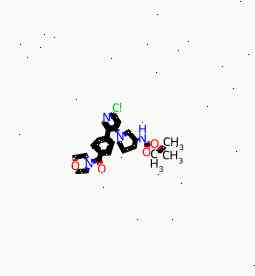 CC(C)(C)OC(=O)N[C@H]1CCCN(c2cc(Cl)ncc2-c2ccc(C(=O)N3CCOCC3)cc2)C1